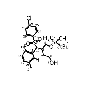 CC(C)(C)[Si](C)(C)OCC(CCO)C(c1c(F)ccc(F)c1F)S(=O)(=O)c1ccc(Cl)cc1